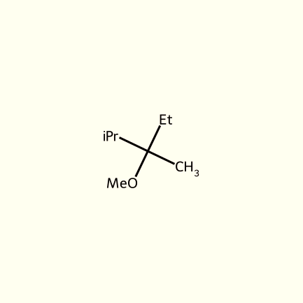 CCC(C)(OC)C(C)C